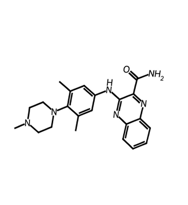 Cc1cc(Nc2nc3ccccc3nc2C(N)=O)cc(C)c1N1CCN(C)CC1